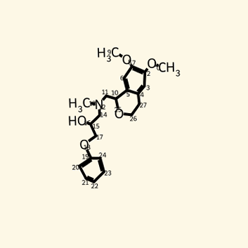 COc1cc2c(cc1OC)C(CN(C)CC(O)COc1ccccc1)OCC2